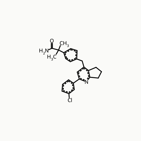 CC(C)(C(N)=O)c1ccc(Cc2cc(-c3cccc(Cl)c3)nc3c2CCC3)cc1